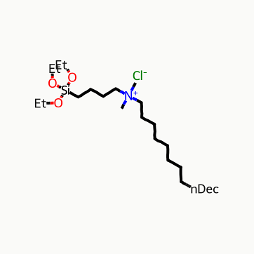 CCCCCCCCCCCCCCCCCC[N+](C)(C)CCCC[Si](OCC)(OCC)OCC.[Cl-]